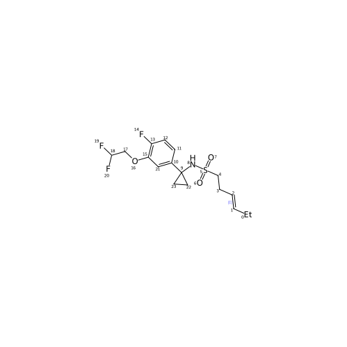 CC/C=C/CCS(=O)(=O)NC1(c2ccc(F)c(OCC(F)F)c2)CC1